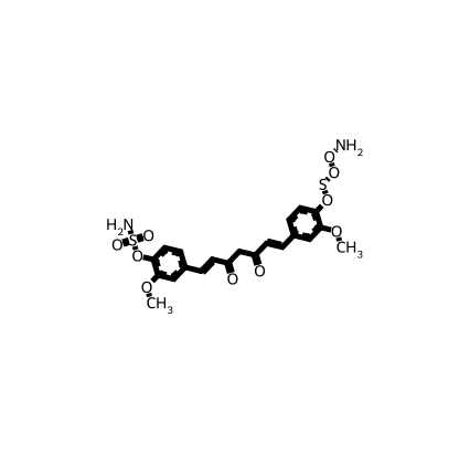 COc1cc(/C=C/C(=O)CC(=O)/C=C/c2ccc(OS(N)(=O)=O)c(OC)c2)ccc1OSOON